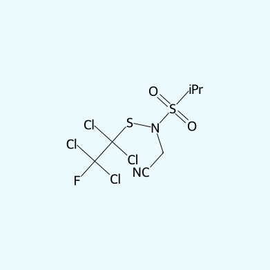 CC(C)S(=O)(=O)N(CC#N)SC(Cl)(Cl)C(F)(Cl)Cl